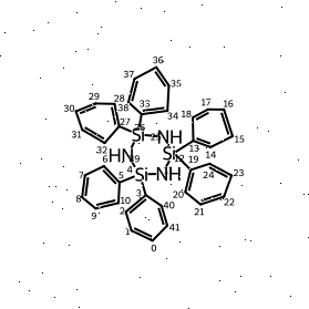 c1ccc([Si]2(c3ccccc3)N[Si](c3ccccc3)(c3ccccc3)N[Si](c3ccccc3)(c3ccccc3)N2)cc1